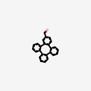 O=Cc1ccc2c(c1)-c1ccccc1-c1ccccc1-c1ccccc1-2